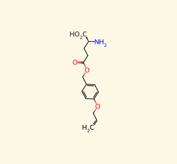 C=CCOc1ccc(COC(=O)CC[C@H](N)C(=O)O)cc1